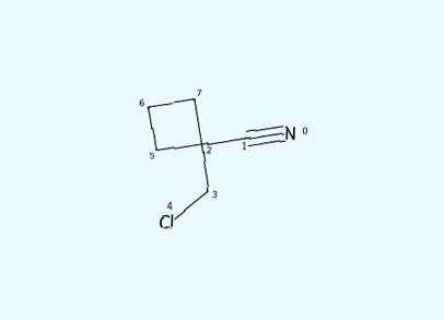 N#CC1(CCl)CCC1